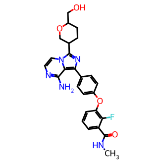 CNC(=O)c1cccc(Oc2ccc(-c3nc(C4CCC(CO)OC4)n4ccnc(N)c34)cc2)c1F